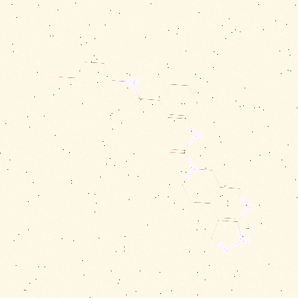 C[C@@H](CO)CCNC(=O)c1cccc(NC(=O)N2CCc3c(cnc4[nH]ncc34)C2)c1